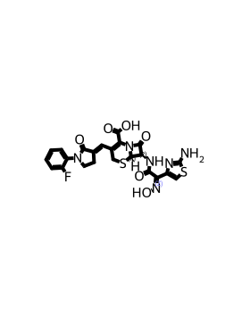 Nc1nc(/C(=N/O)C(=O)N[C@@H]2C(=O)N3C(C(=O)O)=C(C=C4CCN(c5ccccc5F)C4=O)CS[C@H]23)cs1